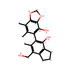 Cc1c(C)c(-c2c(C)c(CO)c3c(c2O)CCC3)c(O)c2c1OCO2